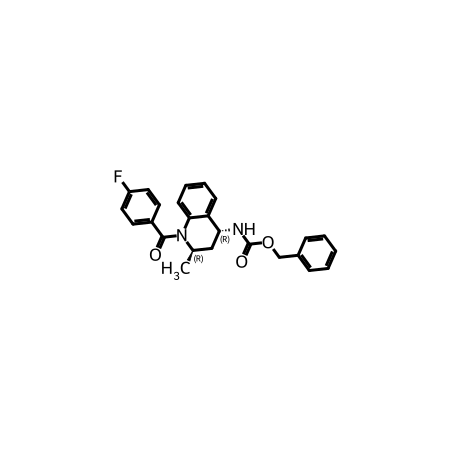 C[C@@H]1C[C@@H](NC(=O)OCc2ccccc2)c2ccccc2N1C(=O)c1ccc(F)cc1